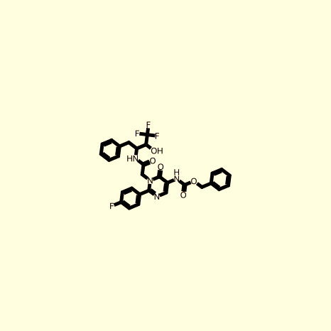 O=C(Cn1c(-c2ccc(F)cc2)ncc(NC(=O)OCc2ccccc2)c1=O)NC(Cc1ccccc1)C(O)C(F)(F)F